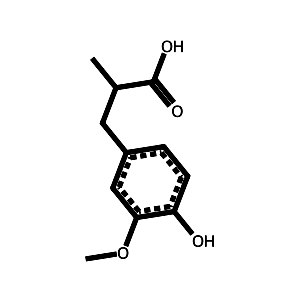 COc1cc(CC(C)C(=O)O)ccc1O